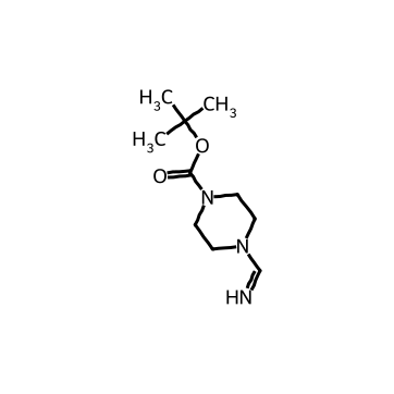 CC(C)(C)OC(=O)N1CCN(C=N)CC1